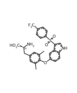 Cc1cc(C[C@H](N)C(=O)O)cc(C)c1Oc1ccc2[nH]cc(S(=O)(=O)c3ccc(C(F)(F)F)cc3)c2c1